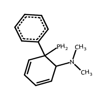 CN(C)C1C=CC=CC1(P)c1ccccc1